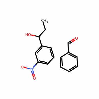 CCC(O)c1cccc([N+](=O)[O-])c1.O=Cc1ccccc1